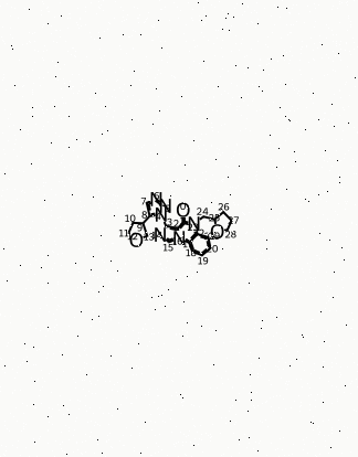 O=c1c2c(-n3nncc3C3CCOC3)ncn2c2ccccc2n1CC1CCCO1